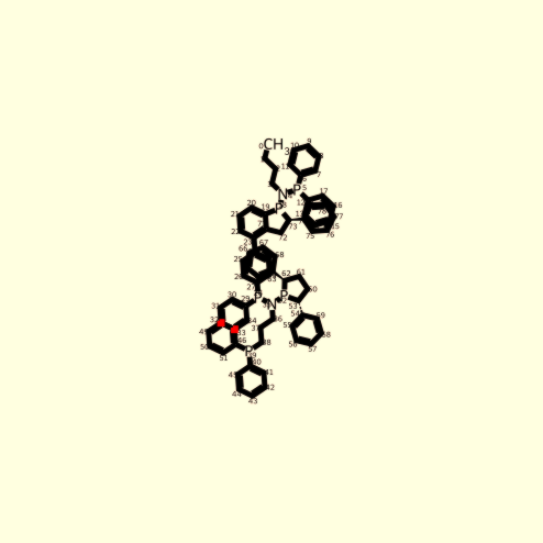 CCCCN(P(c1ccccc1)c1ccccc1)P1c2cccc(-c3ccc(P(c4ccccc4)N(CCCP(c4ccccc4)c4ccccc4)P4[C@@H](c5ccccc5)CC[C@@H]4c4ccccc4)cc3)c2C[C@@H]1c1ccccc1